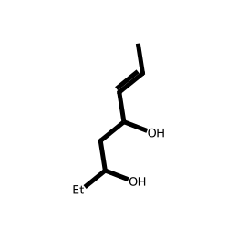 C/C=C/C(O)CC(O)CC